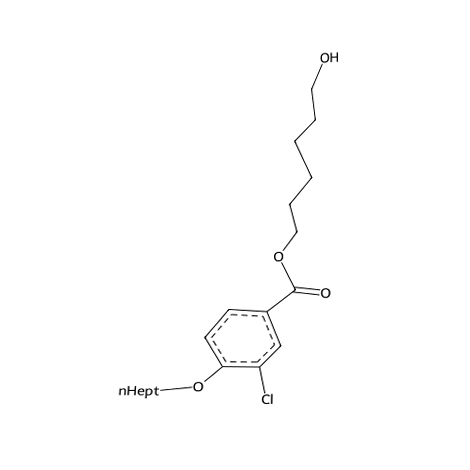 CCCCCCCOc1ccc(C(=O)OCCCCCCO)cc1Cl